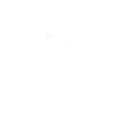 C=C/C=C\C(C)C(C)C(C)C(OCc1ccc(OC)cc1)C(C)CI